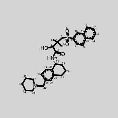 CC(C)(CS(=O)(=O)c1ccc2ccccc2c1)C(O)C(=O)N[C@@H]1CCCc2cc(CN3CCCCC3)ccc21